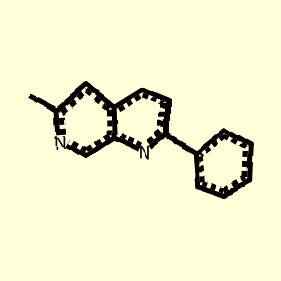 Cc1cc2ccc(-c3ccccc3)nc2cn1